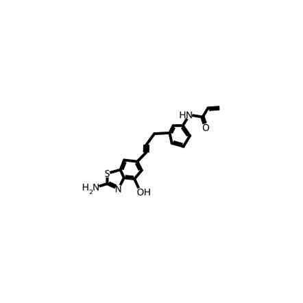 C=CC(=O)Nc1cccc(CC#Cc2cc(O)c3nc(N)sc3c2)c1